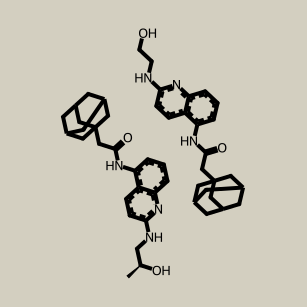 C[C@H](O)CNc1ccc2c(NC(=O)CC34CC5CC(CC(C5)C3)C4)cccc2n1.O=C(CC12CC3CC(CC(C3)C1)C2)Nc1cccc2nc(NCCO)ccc12